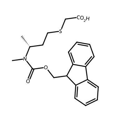 C[C@H](CCSCC(=O)O)N(C)C(=O)OCC1c2ccccc2-c2ccccc21